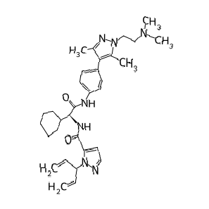 C=CC(C=C)n1nccc1C(=O)N[C@H](C(=O)Nc1ccc(-c2c(C)nn(CCN(C)C)c2C)cc1)C1CCCCC1